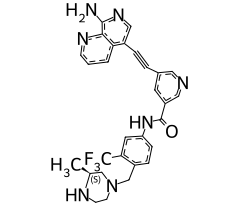 C[C@H]1CN(Cc2ccc(NC(=O)c3cncc(C#Cc4cnc(N)c5ncccc45)c3)cc2C(F)(F)F)CCN1